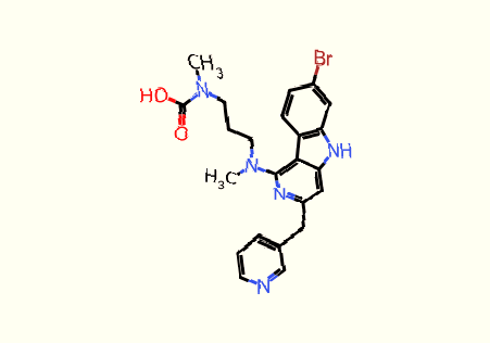 CN(CCCN(C)c1nc(Cc2cccnc2)cc2[nH]c3cc(Br)ccc3c12)C(=O)O